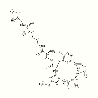 Cc1ccc2cc1C[C@@H](C(=O)NC[C@H](N)C(=O)NCCCC[C@H](N)C(=O)NCC(O)CN)NC(=O)[C@H](CCCN)NC(=O)[C@@H](N)Cc1cc-2ccc1O